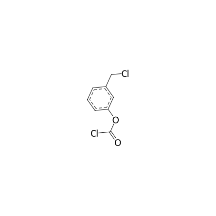 O=C(Cl)Oc1cccc(CCl)c1